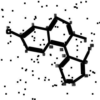 Cc1ccc2cc(Cl)ccc2c1-c1ccccc1F